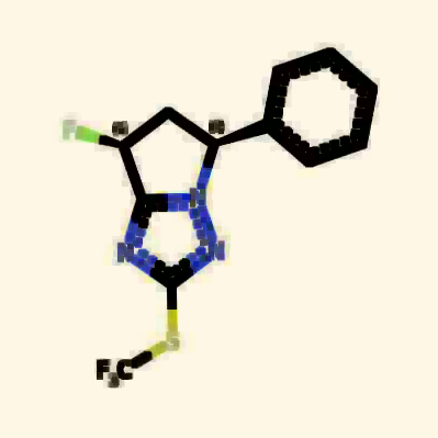 F[C@H]1C[C@@H](c2ccccc2)n2nc(SC(F)(F)F)nc21